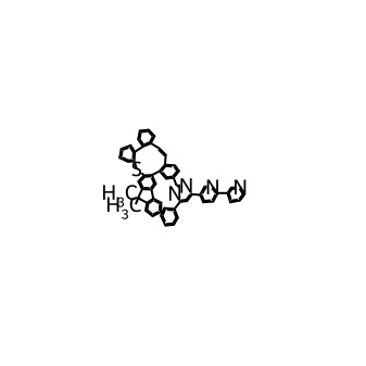 CC1(C)c2ccccc2-c2cc3c(cc21)Sc1ccccc1-c1ccccc1/C=C\c1ccc(-c2nc(-c4ccccc4)cc(-c4ccc(-c5cccnc5)nc4)n2)cc1-3